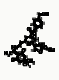 CC(NCCCC[C@H](N[NH+]([O-])[C@@H](NC(=O)OC(C)(C)C)C(C)C)C(=O)Nc1ccc(CO)cc1)=C1C(=O)CC(C)(C)CC1=O